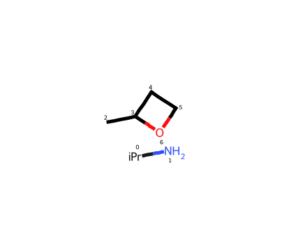 CC(C)N.CC1CCO1